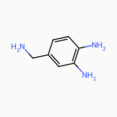 NCc1ccc(N)c(N)c1